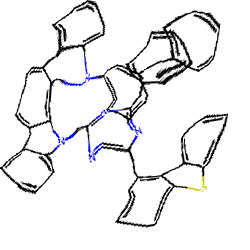 c1ccc(-c2cccc(-n3c4ccccc4c4ccc5c6ccccc6n(-c6nc(-c7ccccc7)nc(-c7cccc8sc9ccccc9c78)n6)c5c43)c2)cc1